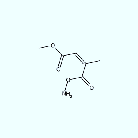 COC(=O)/C=C(/C)C(=O)ON